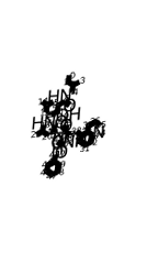 CCC(C)CNC(=O)C[C@H](O)[C@H](CC(C)C)NC(=O)[C@H](CC(C)C)NC(=O)[C@H](Cc1cccc2ncccc12)NC(=O)OCc1ccccc1